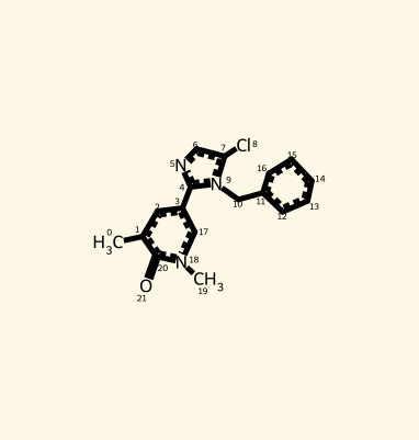 Cc1cc(-c2ncc(Cl)n2Cc2ccccc2)cn(C)c1=O